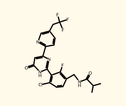 CC(C)C(=O)NCc1ccc(Cl)c(-c2nc(-c3ccc(CC(F)(F)F)cn3)cc(=O)[nH]2)c1F